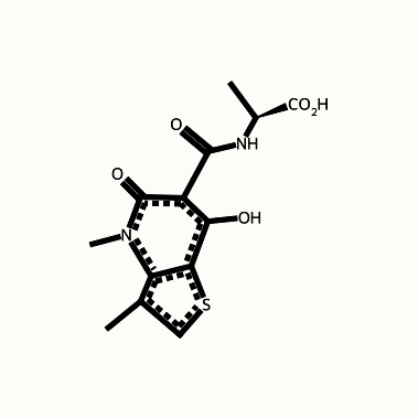 Cc1csc2c(O)c(C(=O)N[C@@H](C)C(=O)O)c(=O)n(C)c12